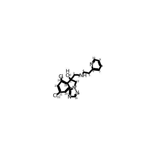 OC(CNCCc1ccccn1)(Cn1cncn1)c1ccc(Cl)cc1Cl